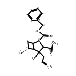 C=CCC1(C)C2C(C[C@H]2O)N(C(=O)OCc2ccccc2)C1C(=O)OC